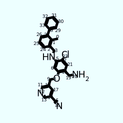 Cc1c(CNc2cc(OCc3cncc(C#N)c3)c(CN)cc2Cl)cccc1-c1ccccc1